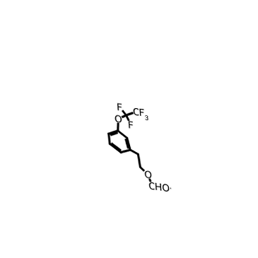 O=[C]OCCc1cccc(OC(F)(F)C(F)(F)F)c1